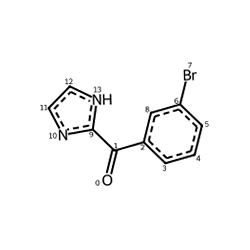 O=C(c1cccc(Br)c1)c1ncc[nH]1